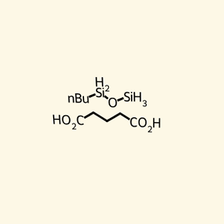 CCCC[SiH2]O[SiH3].O=C(O)CCCC(=O)O